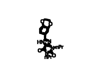 CCCn1c(=O)c2[nH]c(-c3ccc4c(c3)OCCO4)nc2n(CCC)c1=O